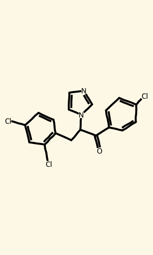 O=C(c1ccc(Cl)cc1)C(Cc1ccc(Cl)cc1Cl)n1ccnc1